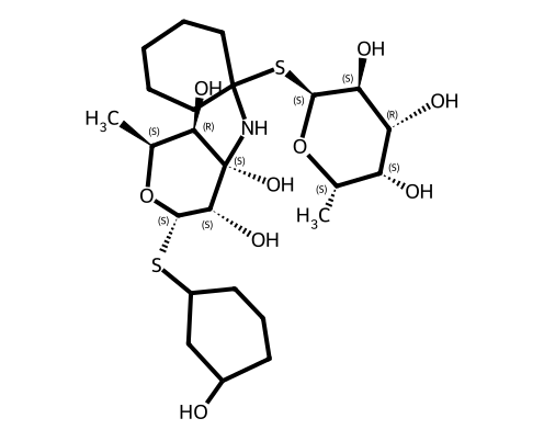 C[C@@H]1O[C@@H](SC2(N[C@]3(O)[C@H](O)[C@H](C)O[C@@H](SC4CCCC(O)C4)[C@H]3O)CCCCC2)[C@@H](O)[C@H](O)[C@@H]1O